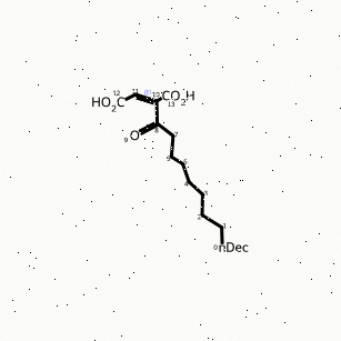 CCCCCCCCCCCCCCCCCC(=O)/C(=C\C(=O)O)C(=O)O